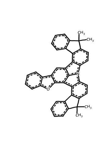 CC1(C)c2ccccc2-c2c1ccc1c2c2cc3c4ccccc4oc3c3c4c5c(ccc4n1c23)C(C)(C)c1ccccc1-5